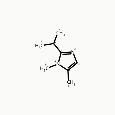 Cc1cnc(C(C)C)n1C